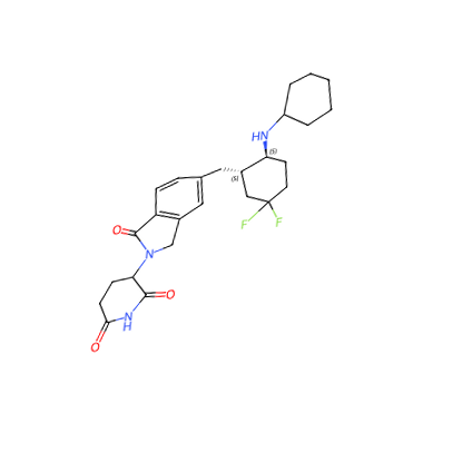 O=C1CCC(N2Cc3cc(C[C@H]4CC(F)(F)CC[C@@H]4NC4CCCCC4)ccc3C2=O)C(=O)N1